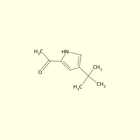 CC(=O)c1cc(C(C)(C)C)c[nH]1